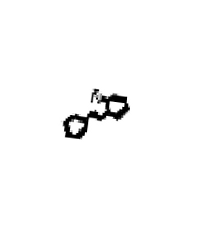 CN=C1C=CC=CC1C=Cc1ccccc1